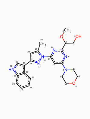 COC(CO)c1nc(N2CCOCC2)cc(-n2nc(-c3c[nH]c4ccccc34)cc2C)n1